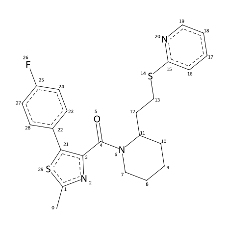 Cc1nc(C(=O)N2CCCCC2CCSc2ccccn2)c(-c2ccc(F)cc2)s1